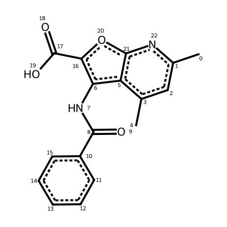 Cc1cc(C)c2c(NC(=O)c3ccccc3)c(C(=O)O)oc2n1